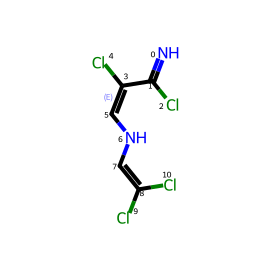 N=C(Cl)/C(Cl)=C\NC=C(Cl)Cl